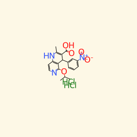 CC1=C(C(=O)O)C(c2cccc([N+](=O)[O-])c2)c2c(ccnc2OC(C)C)N1.Cl.Cl